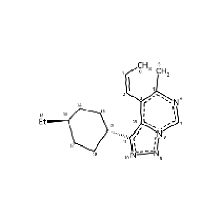 C/C=C\c1c(C)ncn2nnc([C@H]3CC[C@H](CC)CC3)c12